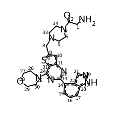 NCC(=O)N1CCN(Cc2cc3nc(-c4cccc5[nH]ncc45)nc(N4CCOCC4)c3s2)CC1